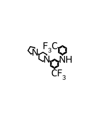 FC(F)(F)c1cccc(Nc2cc(N3CCC(N4CCCC4)CC3)cc(C(F)(F)F)c2)c1